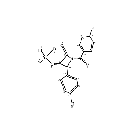 CC[Si](CC)(CC)O[C@H]1C(=O)N(C(=O)c2ccc(C)cc2)[C@H]1c1ccc(Cl)cc1